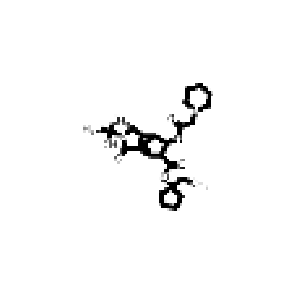 CCC1(OC(=O)C2C3CC(C4CN(C(C)(C)C)C(=O)C43)C2OC(=O)CN2CCCCC2)CCCC1